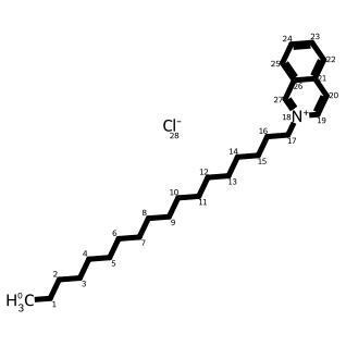 CCCCCCCCCCCCCCCCCC[n+]1ccc2ccccc2c1.[Cl-]